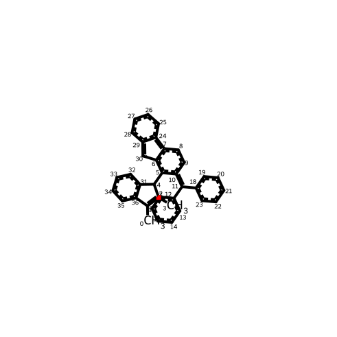 CC1=C(C)C(c2c3c(ccc2=C(c2ccccc2)c2ccccc2)=c2ccccc2=[C]3)c2ccccc21